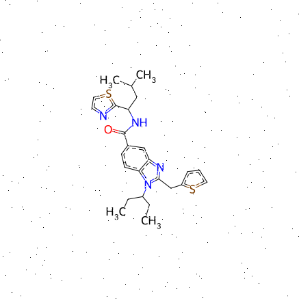 CCC(CC)n1c(Cc2cccs2)nc2cc(C(=O)NC(CC(C)C)c3nccs3)ccc21